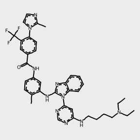 CCN(CC)CCCCNc1cc(-n2c(Nc3cc(NC(=O)c4ccc(-n5ccnc5C)c(C(F)(F)F)c4)ccc3C)nc3ccccc32)ncn1